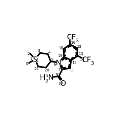 C[Si]1(C)CCC(n2c(C(N)=O)cc3c(C(F)(F)F)cc(C(F)(F)F)cc32)CC1